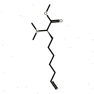 C=CCCCCC[C@H](C(=O)OC)N(C)C